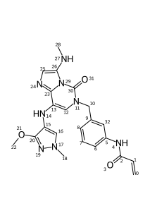 C=CC(=O)Nc1cccc(Cn2cc(Nc3cn(C)nc3OC)c3ncc(NC)n3c2=O)c1